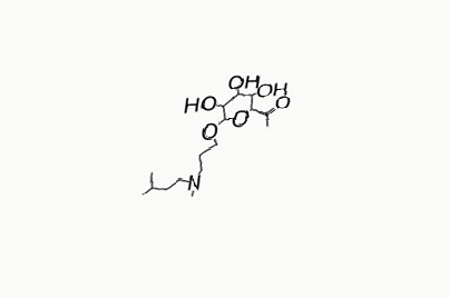 CC(=O)C1OC(OCCCN(C)CCC(C)C)C(O)C(O)C1O